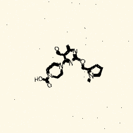 Cc1nc(OCC2CCCN2C)nc(N2CCN(C(=O)O)CC2)c1C=O